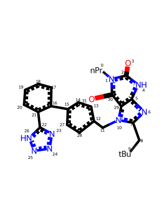 CCCn1c(=O)[nH]c2nc(CC(C)(C)C)n(Cc3ccc(-c4ccccc4-c4nnn[nH]4)cc3)c2c1=O